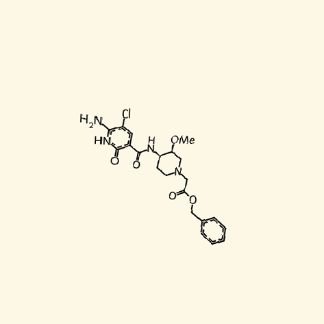 CO[C@H]1CN(CC(=O)OCc2ccccc2)CC[C@H]1NC(=O)c1cc(Cl)c(N)[nH]c1=O